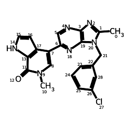 Cc1nc2ncc(-c3cn(C)c(=O)c4[nH]ccc34)nc2n1Cc1cccc(Cl)c1